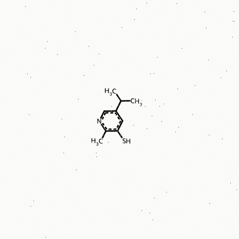 Cc1ncc(C(C)C)cc1S